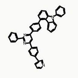 c1ccc(-c2nc(-c3ccc(-c4cccnc4)cc3)cc(-c3ccc(-c4cccc5c4c4ccccc4n5-c4ccccc4)cc3)n2)cc1